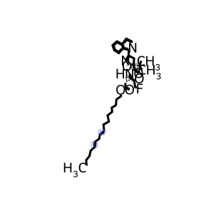 CCCCC/C=C/C/C=C/CCCCCCCCOC(=O)C[C@H](NC(=O)[C@]1(C(C)C)CC(c2nccc3ccccc23)=NO1)C(=O)CF